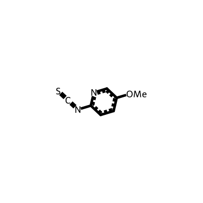 COc1ccc(N=C=S)nc1